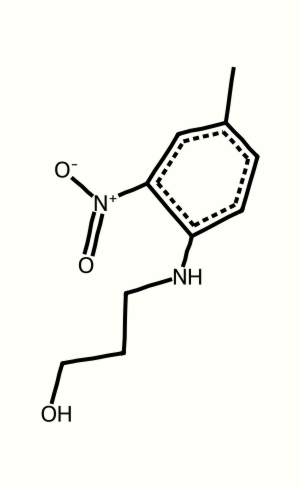 Cc1ccc(NCCCO)c([N+](=O)[O-])c1